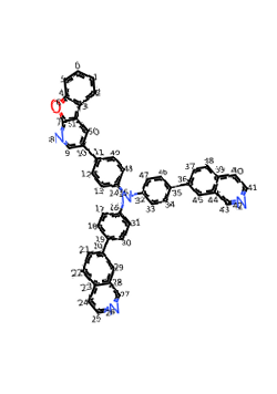 c1ccc2c(c1)oc1ncc(-c3ccc(N(c4ccc(-c5ccc6ccncc6c5)cc4)c4ccc(-c5ccc6ccncc6c5)cc4)cc3)cc12